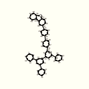 c1ccc(-c2cc(-c3ccccc3)cc(-c3cc(-c4ccccc4)nc(-c4ccc(-c5ccc(-c6ccc7oc8ccccc8c7c6)cc5)cc4)c3)c2)cc1